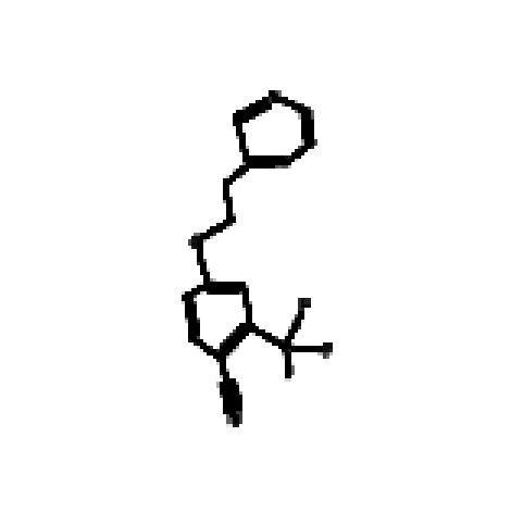 N#Cc1ccc(OCCc2cccnc2)cc1C(F)(F)F